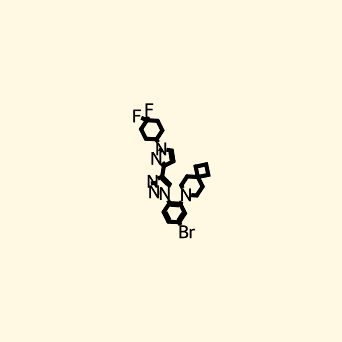 FC1(F)CCC(n2ccc(-c3cn(-c4ccc(Br)cc4N4CCC5(CCC5)CC4)nn3)n2)CC1